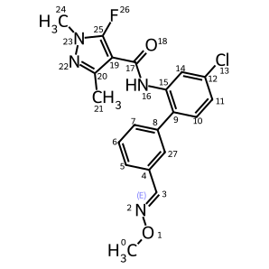 CO/N=C/c1cccc(-c2ccc(Cl)cc2NC(=O)c2c(C)nn(C)c2F)c1